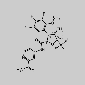 [2H]c1cc([C@H]2[C@@H](C)[C@@](C)(C(F)(F)F)O[C@H]2C(=O)Nc2ccnc(C(N)=O)c2)c(OC)c(F)c1F